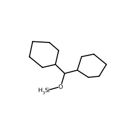 [SiH3]OC(C1CCCCC1)C1CCCCC1